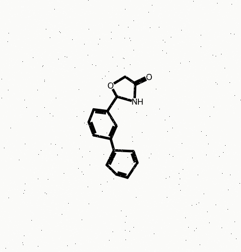 O=C1COC(c2cccc(-c3ccccc3)c2)N1